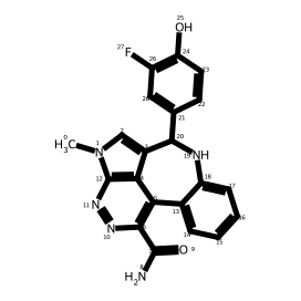 Cn1cc2c3c(c(C(N)=O)nnc31)-c1ccccc1NC2c1ccc(O)c(F)c1